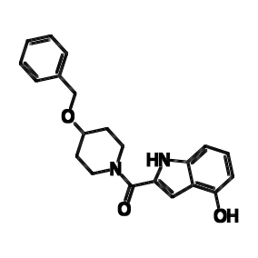 O=C(c1cc2c(O)cccc2[nH]1)N1CCC(OCc2ccccc2)CC1